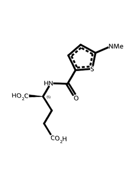 CNc1ccc(C(=O)N[C@@H](CCC(=O)O)C(=O)O)s1